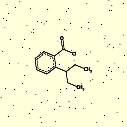 CCC(CC)c1ccccc1C(=O)Cl